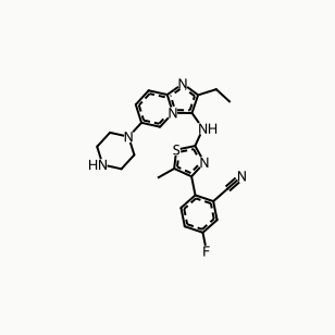 CCc1nc2ccc(N3CCNCC3)cn2c1Nc1nc(-c2ccc(F)cc2C#N)c(C)s1